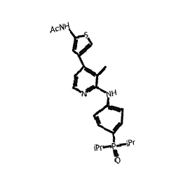 CC(=O)Nc1cc(-c2ccnc(Nc3ccc(P(=O)(C(C)C)C(C)C)cc3)c2C)cs1